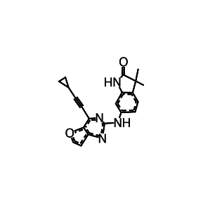 CC1(C)C(=O)Nc2cc(Nc3nc(C#CC4CC4)c4occc4n3)ccc21